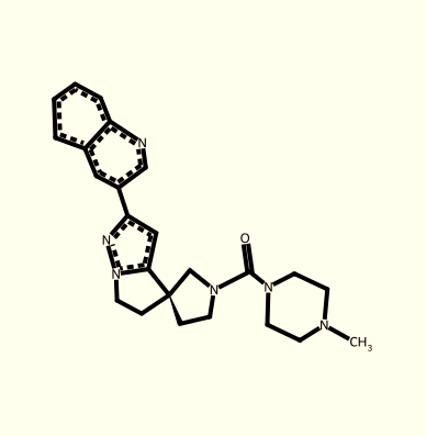 CN1CCN(C(=O)N2CC[C@]3(CCn4nc(-c5cnc6ccccc6c5)cc43)C2)CC1